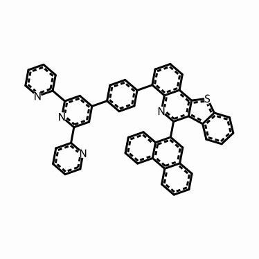 c1ccc(-c2cc(-c3ccc(-c4cccc5c4nc(-c4cc6ccccc6c6ccccc46)c4c6ccccc6sc54)cc3)cc(-c3ccccn3)n2)nc1